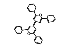 C1=CCC(C2=CC(=C3C=C(c4ccccc4)OC(c4ccccc4)=C3)C=C(c3ccccc3)O2)C=C1